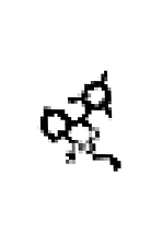 C=CCO[PH](=O)c1ccccc1C(=O)c1c(C)cc(C)cc1C